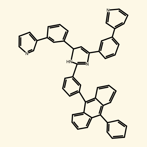 C1=C(c2cccc(-c3cccnc3)c2)N=C(c2cccc(-c3c4ccccc4c(-c4ccccc4)c4ccccc34)c2)NC1c1cccc(-c2cccnc2)c1